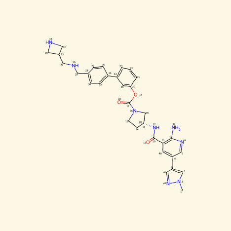 Cn1cc(-c2cnc(N)c(C(=O)N[C@@H]3CCN(C(=O)Oc4cccc(-c5ccc(CNCC6CNC6)cc5)c4)C3)c2)cn1